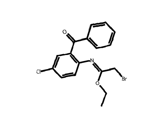 CCOC(CBr)=Nc1ccc(Cl)cc1C(=O)c1ccccc1